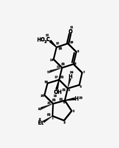 CC[C@H]1CC[C@H]2[C@@H]3CCC4=CC(=O)[C@H](C(=O)O)C[C@]4(C)[C@@]3(O)CC[C@]12C